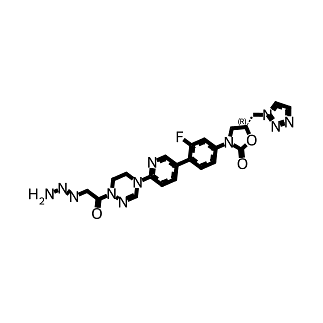 NN=NCC(=O)N1CCN(c2ccc(-c3ccc(N4C[C@H](Cn5ccnn5)OC4=O)cc3F)cn2)C=N1